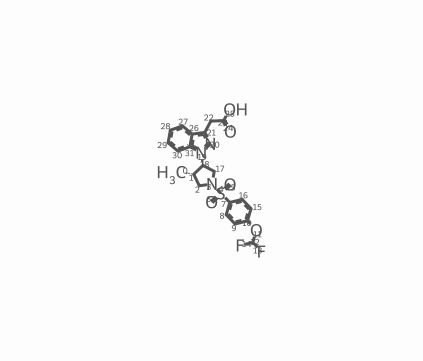 C[C@H]1CN(S(=O)(=O)c2ccc(OC(F)F)cc2)C[C@@H]1n1nc(CC(=O)O)c2ccccc21